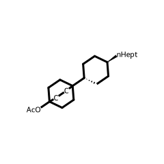 CCCCCCC[C@H]1CC[C@H](C23CCC(OC(C)=O)(CC2)CC3)CC1